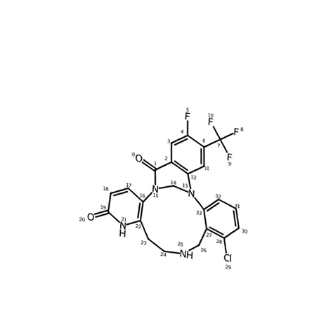 O=C1c2cc(F)c(C(F)(F)F)cc2N2CN1c1ccc(=O)[nH]c1CCNCc1c(Cl)cccc12